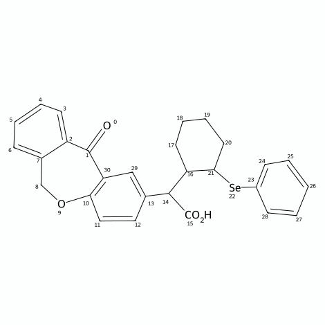 O=C1c2ccccc2COc2ccc(C(C(=O)O)C3CCCCC3[Se]c3ccccc3)cc21